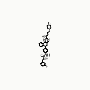 CN1CCN(CCCNc2ncc3c(n2)-c2ccccc2C(c2ccc(NC(=O)NCc4cccc(F)c4)cc2)C3)CC1